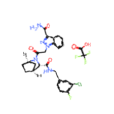 NC(=O)c1nn(CC(=O)N2[C@@H]3CC[C@@H](C3)[C@H]2C(=O)NCc2ccc(F)c(Cl)c2)c2ccccc12.O=C(O)C(F)(F)F